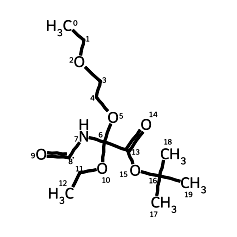 CCOCCOC(N[C]=O)(OCC)C(=O)OC(C)(C)C